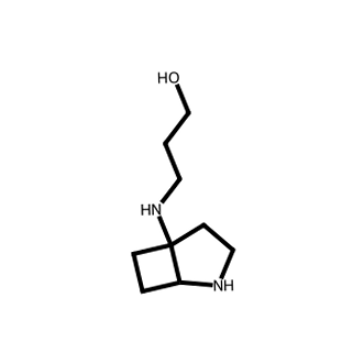 OCCCNC12CCNC1CC2